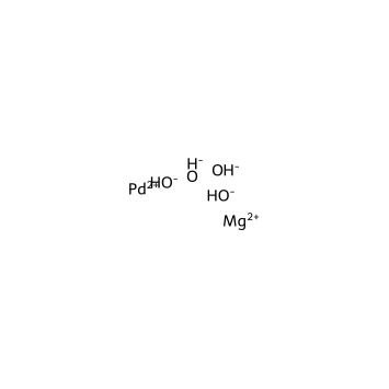 [Mg+2].[OH-].[OH-].[OH-].[OH-].[Pd+2]